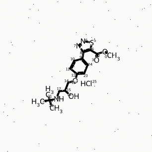 COC(=O)c1snnc1-c1ccc(OCC(O)CNC(C)(C)C)cc1.Cl